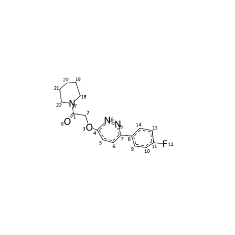 O=C(COc1ccc(-c2ccc(F)cc2)nn1)N1CCCCC1